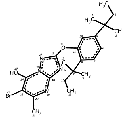 CCC(C)(C)c1ccc(C(C)(C)CC)c(Oc2nc3nc(C)c(Br)c(O)n3n2)c1